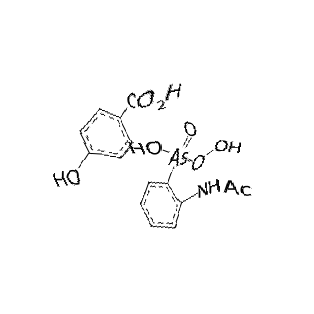 CC(=O)Nc1ccccc1[As](=O)(O)OO.O=C(O)c1ccc(O)cc1